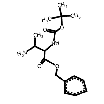 CC(N)C(NC(=O)OC(C)(C)C)C(=O)OCc1ccccc1